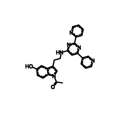 CC(=O)n1cc(CCNc2cc(-c3cccnc3)nc(-c3ccccn3)n2)c2cc(O)ccc21